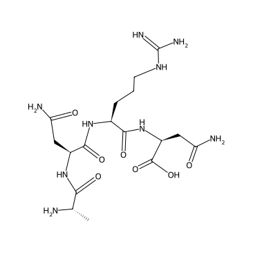 C[C@H](N)C(=O)N[C@@H](CC(N)=O)C(=O)N[C@@H](CCCNC(=N)N)C(=O)N[C@@H](CC(N)=O)C(=O)O